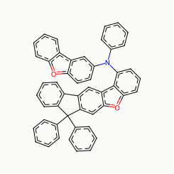 c1ccc(N(c2ccc3oc4ccccc4c3c2)c2cccc3oc4cc5c(cc4c23)-c2ccccc2C5(c2ccccc2)c2ccccc2)cc1